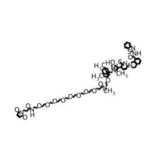 Cc1c(-c2ccc(N3CCc4cccc(C(=O)Nc5nc6ccccc6s5)c4C3)nc2C(=O)O)cnn1CC12CC3(C)CC(C)(C1)CC(OCCN(C)C(=O)CCOCCOCCOCCOCCOCCOCCOCCOCCNC(=O)CCN1C(=O)C=CC1=O)(C3)C2